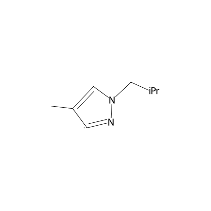 Cc1[c]nn(CC(C)C)c1